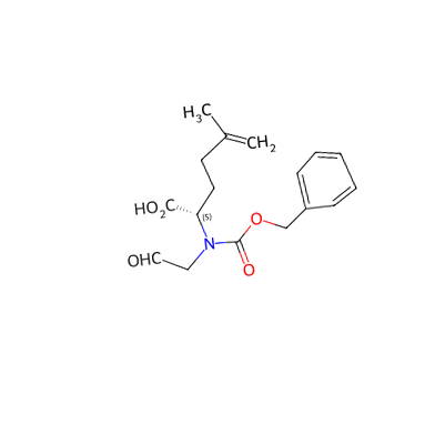 C=C(C)CC[C@@H](C(=O)O)N(CC=O)C(=O)OCc1ccccc1